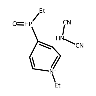 CC[n+]1ccc([PH](=O)CC)cc1.N#CNC#N